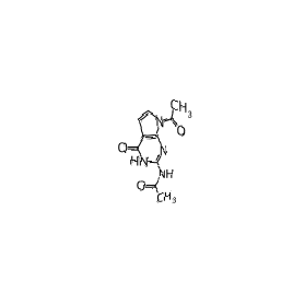 CC(=O)Nc1nc2c(ccn2C(C)=O)c(=O)[nH]1